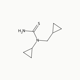 NC(=S)N(CC1CC1)C1CC1